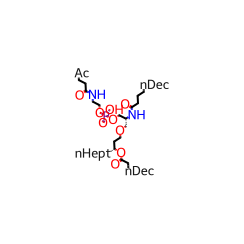 CCCCCCCCCCCCCC(=O)N[C@H](COCC[C@@H](CCCCCCC)OC(=O)CCCCCCCCCCC)COP(=O)(O)OCCNC(=O)CCC(C)=O